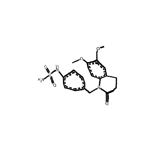 COc1cc2c(cc1OC)N(Cc1ccc(NS(N)(=O)=O)cc1)C(=O)CC2